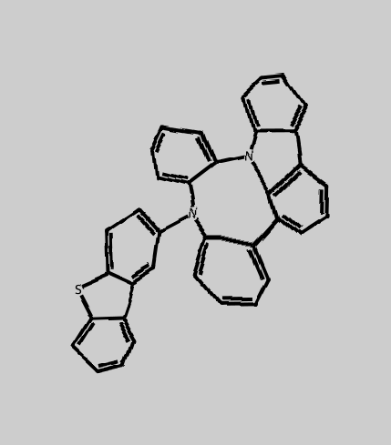 c1ccc2c(c1)sc1ccc(-n3c4ccccc4c4cccc5c6ccccc6n(c6ccccc63)c45)cc12